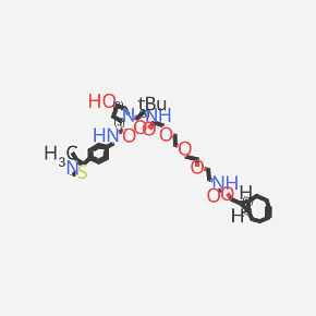 Cc1ncsc1-c1ccc(CNC(=O)[C@@H]2C[C@@H](O)CN2C(=O)[C@@H](NC(=O)COCCOCCOCCNC(=O)OCC2[C@H]3CCC#CCC[C@@H]23)C(C)(C)C)cc1